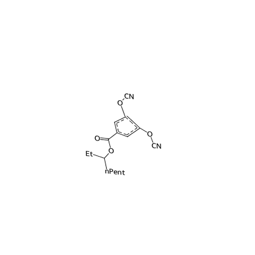 CCCCCC(CC)OC(=O)c1cc(OC#N)cc(OC#N)c1